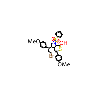 COc1ccc(C(CCBr)C2CN(S(=O)(=O)c3ccccc3)C(C(O)=S)C2C[C@H](C)c2ccc(OC)cc2)cc1